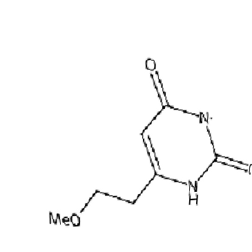 COCCC1=CC(=O)[N]C(=O)N1